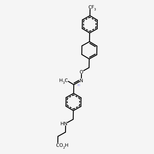 C/C(=N\OCC1=CC=C(c2ccc(C(F)(F)F)cc2)CC1)c1ccc(CNCCC(=O)O)cc1